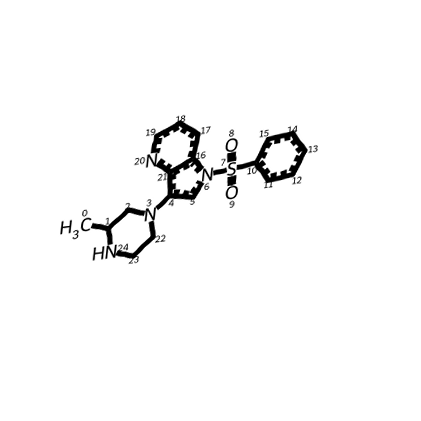 CC1CN(c2cn(S(=O)(=O)c3ccccc3)c3cccnc23)CCN1